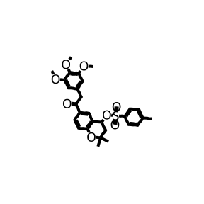 COc1cc(CC(=O)c2ccc3c(c2)C(OS(=O)(=O)c2ccc(C)cc2)CC(C)(C)O3)cc(OC)c1OC